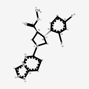 COC(=O)[C@@H]1CN(c2ccc3nncn3n2)C[C@H]1c1ccc(F)cc1F